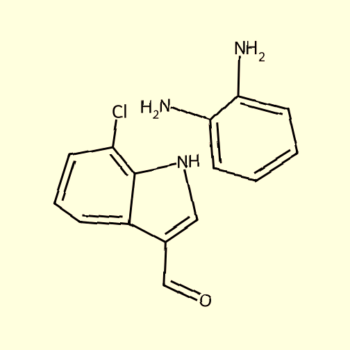 Nc1ccccc1N.O=Cc1c[nH]c2c(Cl)cccc12